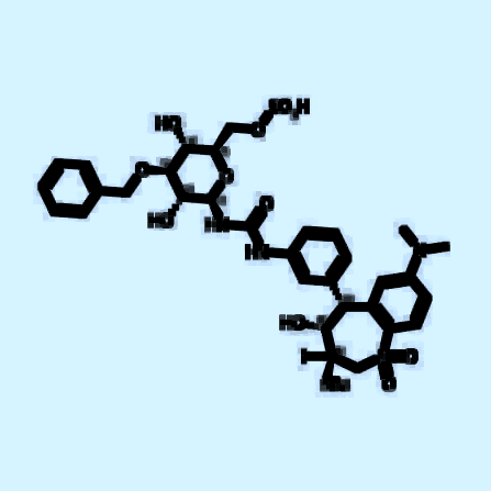 CCCC[C@]1(I)CS(=O)(=O)c2ccc(N(C)C)cc2[C@@H](c2cccc(NC(=O)N[C@@H]3O[C@H](COS(=O)(=O)O)[C@@H](O)[C@H](OCc4ccccc4)[C@H]3O)c2)[C@H]1O